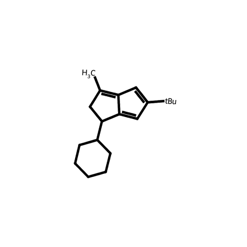 CC1=C2C=C(C(C)(C)C)C=C2C(C2CCCCC2)C1